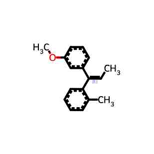 C/C=C(\c1cccc(OC)c1)c1ccccc1C